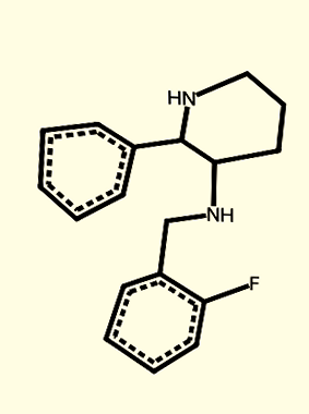 Fc1ccccc1CNC1CCCNC1c1ccccc1